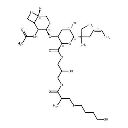 C/C=C\CC(C)(CC)[C@@H]1O[C@@H](C(=O)OCC(O)COC(=O)C(C)CSCCCCS)C(O[C@@H]2OC[C@H]3OCC3C2NC(C)=O)C[C@@H]1O